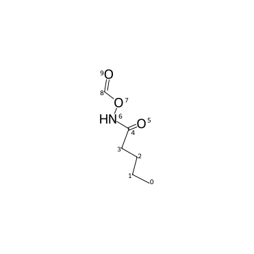 CCCCC(=O)NOC=O